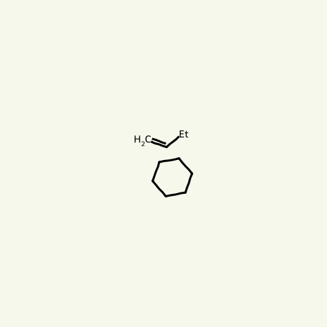 C1CCCCC1.C=CCC